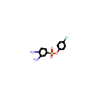 Nc1ccc(S(=O)(=O)Oc2ccc(Cl)cc2)cc1N